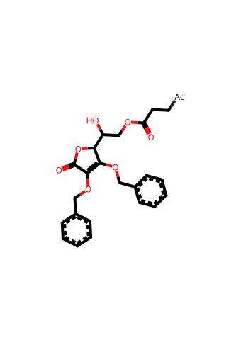 CC(=O)CCC(=O)OCC(O)C1OC(=O)C(OCc2ccccc2)=C1OCc1ccccc1